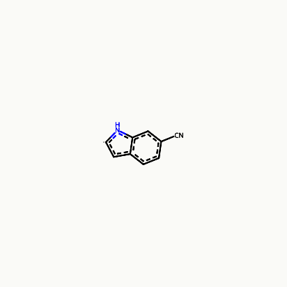 N#Cc1ccc2c[c][nH]c2c1